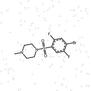 CN1CCN(S(=O)(=O)c2cc(F)c(Br)cc2F)CC1